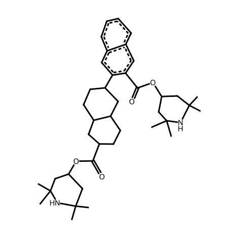 CC1(C)CC(OC(=O)c2cc3ccccc3cc2C2CCC3CC(C(=O)OC4CC(C)(C)NC(C)(C)C4)CCC3C2)CC(C)(C)N1